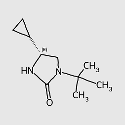 CC(C)(C)N1C[C@@H](C2CC2)NC1=O